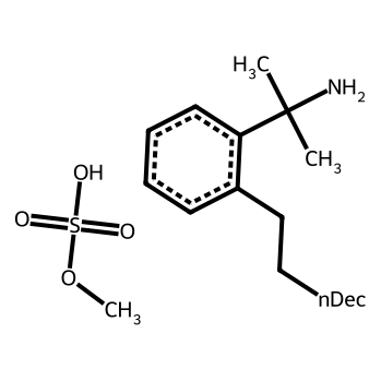 CCCCCCCCCCCCc1ccccc1C(C)(C)N.COS(=O)(=O)O